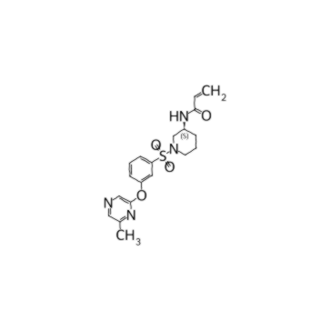 C=CC(=O)N[C@H]1CCCN(S(=O)(=O)c2cccc(Oc3cncc(C)n3)c2)C1